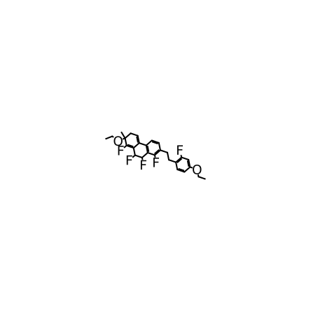 CCOc1ccc(CCc2ccc3c(c2F)C(F)C(F)C2=C(F)C(C)(OCC)CC=C23)c(F)c1